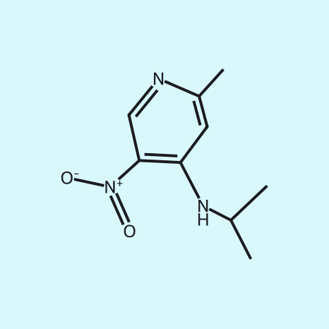 Cc1cc(NC(C)C)c([N+](=O)[O-])cn1